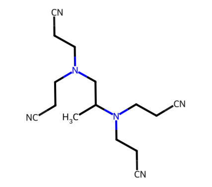 CC(CN(CCC#N)CCC#N)N(CCC#N)CCC#N